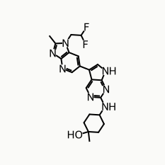 Cc1nc2ncc(-c3c[nH]c4nc(NC5CCC(C)(O)CC5)ncc34)cc2n1CC(F)F